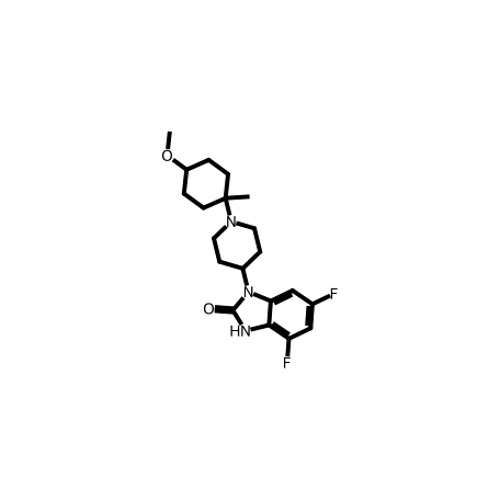 COC1CCC(C)(N2CCC(n3c(=O)[nH]c4c(F)cc(F)cc43)CC2)CC1